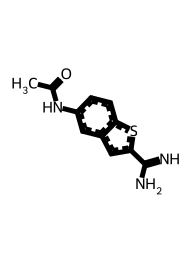 CC(=O)Nc1ccc2sc(C(=N)N)cc2c1